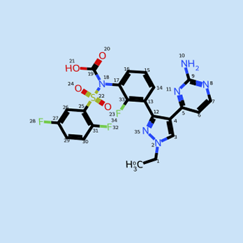 CCn1cc(-c2ccnc(N)n2)c(-c2cccc(N(C(=O)O)S(=O)(=O)c3cc(F)ccc3F)c2F)n1